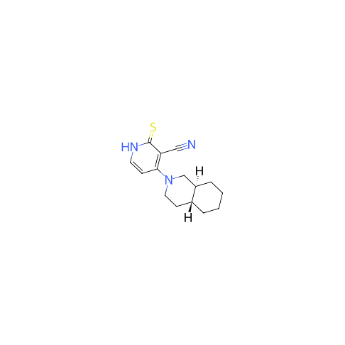 N#Cc1c(N2CC[C@H]3CCCC[C@@H]3C2)cc[nH]c1=S